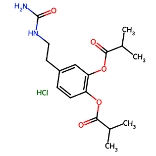 CC(C)C(=O)Oc1ccc(CCNC(N)=O)cc1OC(=O)C(C)C.Cl